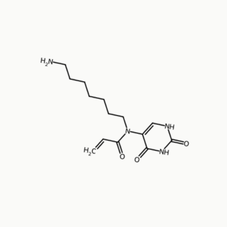 C=CC(=O)N(CCCCCCCN)c1c[nH]c(=O)[nH]c1=O